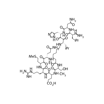 CCN[C@@H](CCC(N)=O)C(=O)C(=O)C(CCSC)NC(=O)[C@H](CCCNC(=N)N)NC(=O)C(CCC(=O)O)NC(=O)[C@@H](NC(=O)CCCCCCN[C@@H](CC(C)C)C(=O)C(=O)[C@H](Cc1cnc[nH]1)NC(=O)C(CC(N)=O)NC(=O)[C@H](CC(C)C)NN)[C@@H](C)O